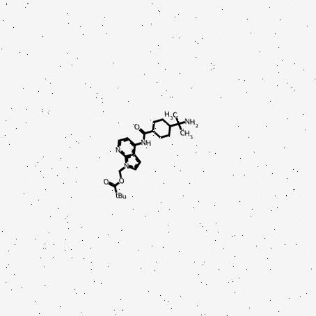 CC(C)(C)C(=O)OCn1ccc2c(NC(=O)C3CCC(C(C)(C)N)CC3)ccnc21